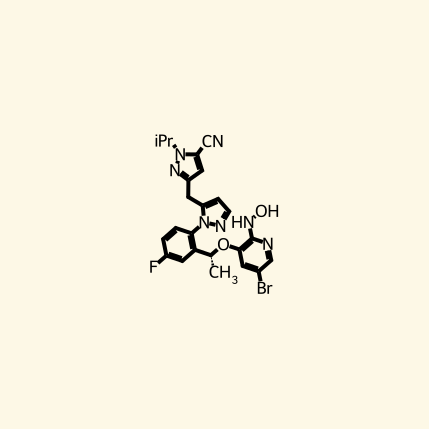 CC(C)n1nc(Cc2ccnn2-c2ccc(F)cc2[C@@H](C)Oc2cc(Br)cnc2NO)cc1C#N